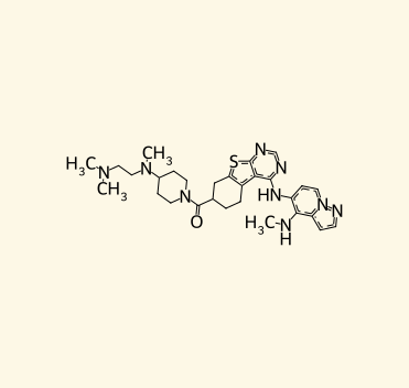 CNc1c(Nc2ncnc3sc4c(c23)CCC(C(=O)N2CCC(N(C)CCN(C)C)CC2)C4)ccn2nccc12